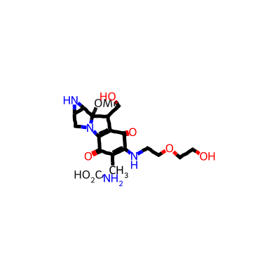 COC12C(CO)C3=C(C(=O)C(C)=C(NCCOCCO)C3=O)N1CC1NC12.NC(=O)O